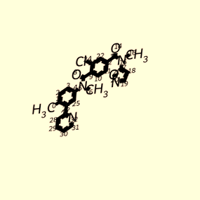 Cc1ccc(N(C)C(=O)c2ccc(C(=O)N(C)c3ccno3)cc2Cl)cc1-c1ccccn1